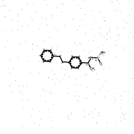 C[C@H](N[S@@+]([O-])C(C)(C)C)c1ccc(CCc2ccccc2)cc1